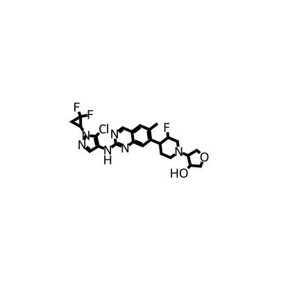 Cc1cc2cnc(Nc3cnn(C4CC4(F)F)c3Cl)nc2cc1C1CCN(C2COCC2O)CC1F